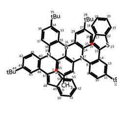 Cc1cc2c3c(c1)N(c1ccc(C(C)(C)C)cc1-c1cc4ccccc4s1)c1ccc(C(C)(C)C)cc1B3c1cc(C(C)(C)C)ccc1N2c1ccc(C(C)(C)C)cc1-c1cc2ccccc2s1